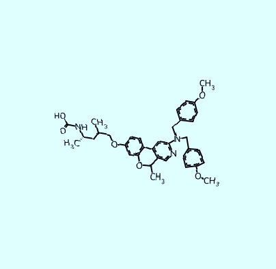 COc1ccc(CN(Cc2ccc(OC)cc2)c2cc3c(cn2)C(C)Oc2cc(OCC(C)C[C@H](C)NC(=O)O)ccc2-3)cc1